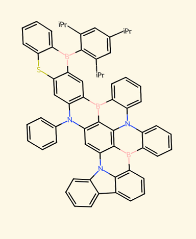 CC(C)c1cc(C(C)C)c(B2c3ccccc3Sc3cc4c(cc32)B2c3ccccc3N3c5ccccc5B5c6c(cc(c2c63)N4c2ccccc2)-n2c3ccccc3c3cccc5c32)c(C(C)C)c1